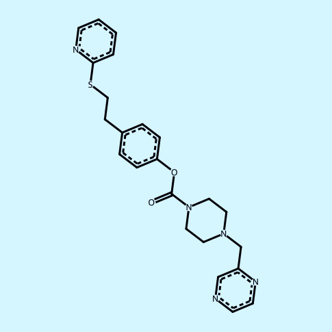 O=C(Oc1ccc(CCSc2ccccn2)cc1)N1CCN(Cc2cnccn2)CC1